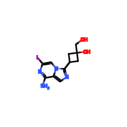 Nc1nc(I)cn2c(C3CC(O)(CO)C3)ncc12